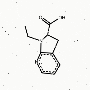 CCN1c2ncccc2CC1C(=O)O